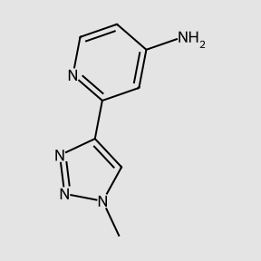 Cn1cc(-c2cc(N)ccn2)nn1